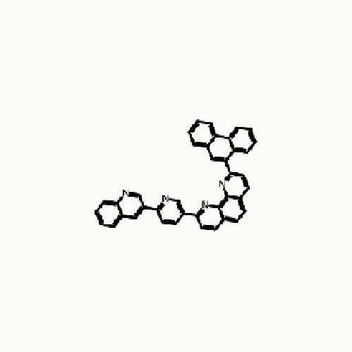 c1ccc2ncc(-c3ccc(-c4ccc5ccc6ccc(-c7cc8ccccc8c8ccccc78)nc6c5n4)cn3)cc2c1